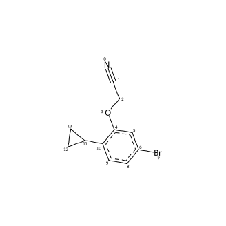 N#CCOc1cc(Br)ccc1C1CC1